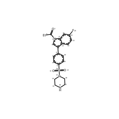 CCC(=O)n1cc(-c2ccc(S(=O)(=O)N3CCNCC3)cc2)c2ccc(F)cc21